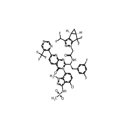 Cn1nc(NS(C)(=O)=O)c2c(Cl)ccc(-n3c([C@H](Cc4cc(F)cc(F)c4)NC(=O)Cn4nc(C(F)F)c5c4C(F)(F)[C@@H]4C[C@H]54)nc4nc(-c5ncncc5C(F)(F)F)ccc4c3=O)c21